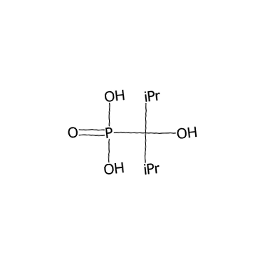 CC(C)C(O)(C(C)C)P(=O)(O)O